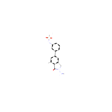 Cc1cc(-c2cccc(NS(C)(=O)=O)c2)cc2c1C(=O)N(N(C)C)C2